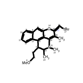 COCCC1c2c3c(cc4ccccc24)O/C(=C/C(C)(C)C)C(C)=C3N(C)C1C